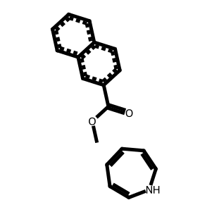 C1=CC=CNC=C1.COC(=O)c1ccc2ccccc2c1